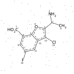 CC(N)c1oc2c(C(=O)O)cc(F)cc2c1Cl